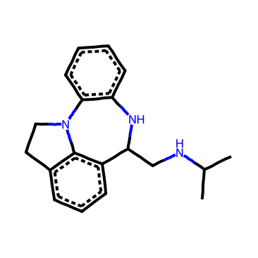 CC(C)NCC1Nc2ccccc2N2CCc3cccc1c32